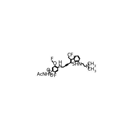 CC(=O)NS(=O)(=O)c1cc(OCF)c(NCC#Cc2sc3c(NCCN(C)C)cccc3c2CC(F)(F)F)cc1F